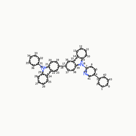 c1ccc(-c2ccc(-n3c4ccccc4c4cc(-c5ccc6c(c5)c5ccccc5n6-c5ccccc5)ccc43)nc2)cc1